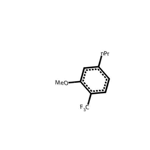 CCCc1ccc(C(F)(F)F)c(OC)c1